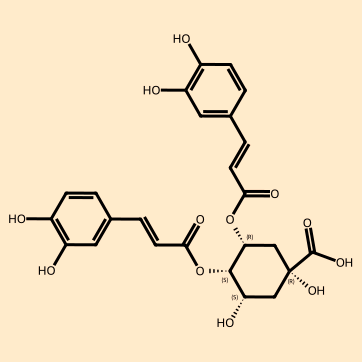 O=C(C=Cc1ccc(O)c(O)c1)O[C@H]1[C@@H](O)C[C@](O)(C(=O)O)C[C@H]1OC(=O)C=Cc1ccc(O)c(O)c1